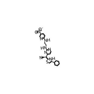 N#CC(=C1NC(c2ccccc2)=CS1)c1ccnc(NCCNc2ccc([N+](=O)[O-])cn2)n1